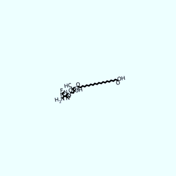 C#C[C@]1(COC(=O)CCCCCCCCCCCCCCCCCCC(=O)O)O[C@@H](n2cnc3c(N)nc(F)nc32)C[C@@H]1O